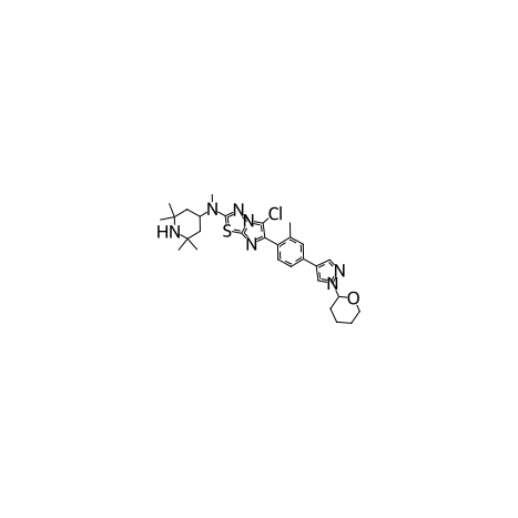 Cc1cc(-c2cnn(C3CCCCO3)c2)ccc1-c1nc2sc(N(C)C3CC(C)(C)NC(C)(C)C3)nn2c1Cl